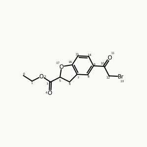 CCOC(=O)C1Cc2cc(C(=O)CBr)ccc2O1